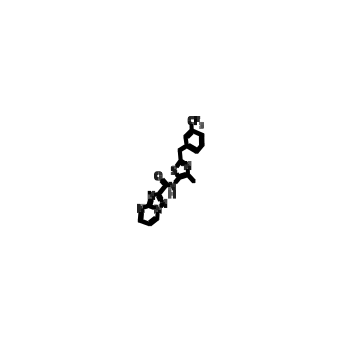 Cc1nc(Cc2cccc(C(F)(F)F)c2)sc1NC(=O)c1nc2ncccn2n1